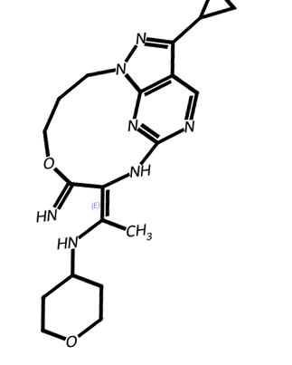 C/C(NC1CCOCC1)=C1\Nc2ncc3c(C4CC4)nn(c3n2)CCCOC1=N